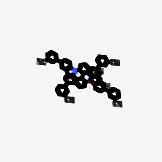 N#Cc1cccc(-c2ccc3c(c2)c2cc(-c4cccc(C#N)c4)ccc2n3-c2cccc(C#N)c2-c2c(-c3ccc(C(F)(F)F)cc3C#N)cccc2-n2c3ccc(-c4cccc(C#N)c4)cc3c3cc(-c4cccc(C#N)c4)ccc32)c1